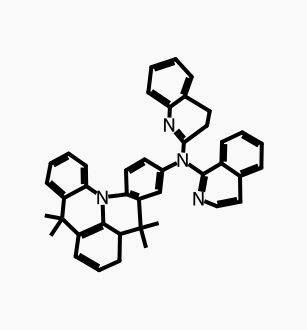 CC1(C)C2=C3C(CC=C2)C(C)(C)c2cc(N(C4=Nc5ccccc5CC4)c4nccc5ccccc45)ccc2N3c2ccccc21